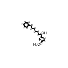 COc1coc(C(O)CCCCCCc2ccccc2)n1